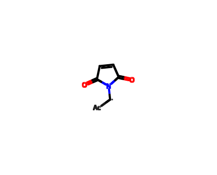 CC(=O)[CH]N1C(=O)C=CC1=O